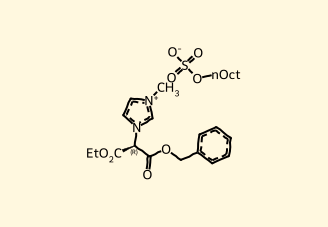 CCCCCCCCOS(=O)(=O)[O-].CCOC(=O)[C@H](C(=O)OCc1ccccc1)n1cc[n+](C)c1